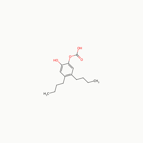 CCCCc1cc(O)c(OC(=O)O)cc1CCCC